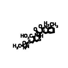 Cc1cccc(CN(C(N)=O)C2C(=O)N3C(C(=O)O)=C(CSc4nnc(C)o4)CS[C@H]23)c1